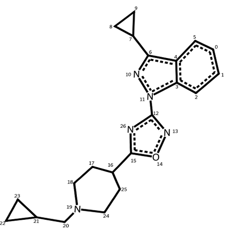 c1ccc2c(c1)c(C1CC1)nn2-c1noc(C2CCN(CC3CC3)CC2)n1